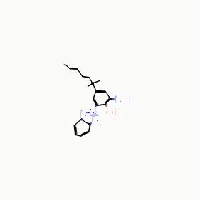 CCCCCC(C)(C)c1cc(N)c(O)c(-n2nc3ccccc3n2)c1